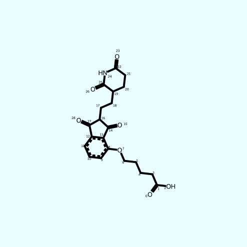 O=C(O)CCCCOc1cccc2c1C(=O)C(CCC1CCC(=O)NC1=O)C2=O